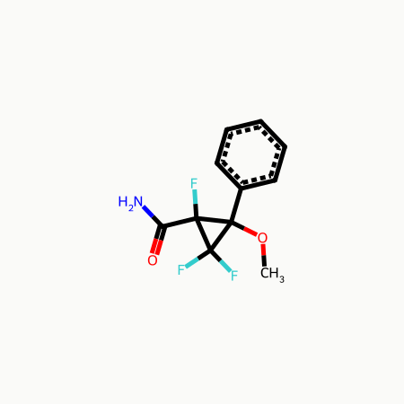 COC1(c2ccccc2)C(F)(F)C1(F)C(N)=O